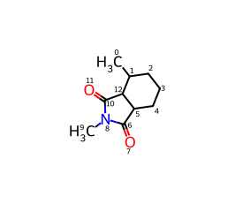 CC1CCCC2C(=O)N(C)C(=O)C12